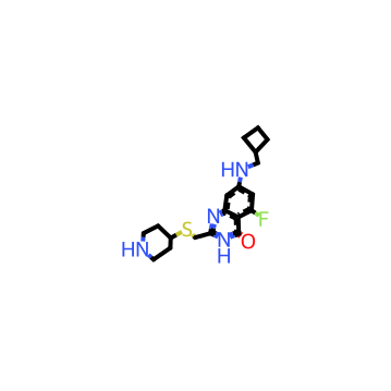 O=c1[nH]c(CSC2CCNCC2)nc2cc(NCC3CCC3)cc(F)c12